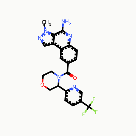 Cn1ncc2c3cc(C(=O)N4CCOCC4c4ccc(C(F)(F)F)cn4)ccc3nc(N)c21